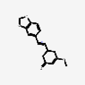 COC1=CC(=O)CC(/C=C/c2ccc3c(c2)OCO3)C1